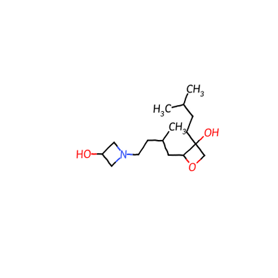 CC(C)CCC1(O)COC1CC(C)CCN1CC(O)C1